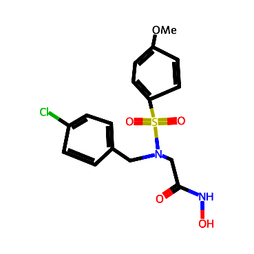 COc1ccc(S(=O)(=O)N(CC(=O)NO)Cc2ccc(Cl)cc2)cc1